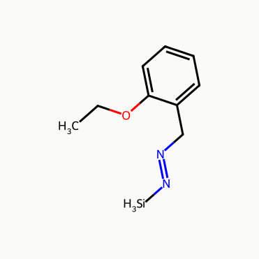 CCOc1ccccc1CN=N[SiH3]